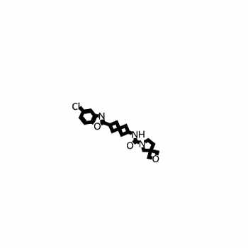 O=C(NC1CC2(C1)CC(c1nc3cc(Cl)ccc3o1)C2)N1CCC2(COC2)C1